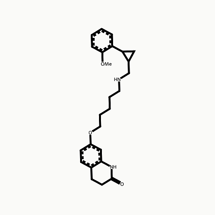 COc1ccccc1C1CC1CNCCCCCOc1ccc2c(c1)NC(=O)CC2